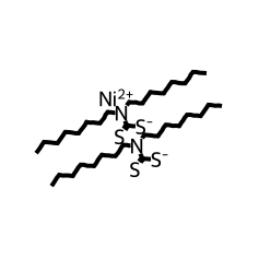 CCCCCCCCN(CCCCCCCC)C(=S)[S-].CCCCCCCCN(CCCCCCCC)C(=S)[S-].[Ni+2]